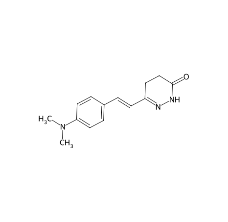 CN(C)c1ccc(C=CC2=NNC(=O)CC2)cc1